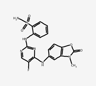 Cn1c(=O)oc2ccc(Nc3nc(Nc4ccccc4S(N)(=O)=O)ncc3F)cc21